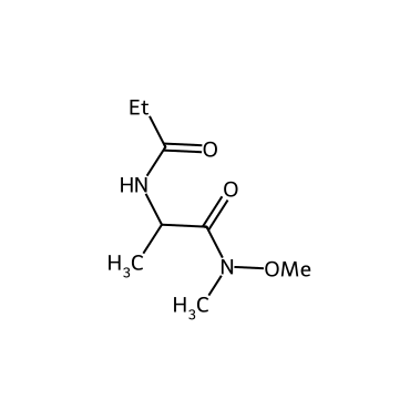 CCC(=O)NC(C)C(=O)N(C)OC